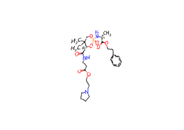 C[C@H](NP1(=O)OCC(C)(C)[C@H](C(=O)NCCC(=O)OCCN2CCCC2)O1)C(=O)OCCc1ccccc1